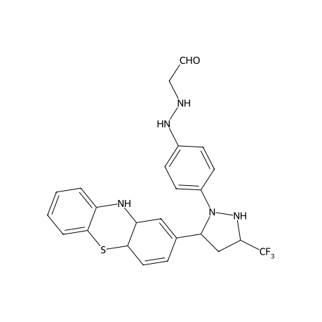 O=CCNNc1ccc(N2NC(C(F)(F)F)CC2C2=CC3Nc4ccccc4SC3C=C2)cc1